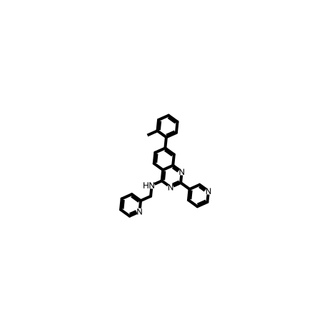 Cc1ccccc1-c1ccc2c(NCc3ccccn3)nc(-c3cccnc3)nc2c1